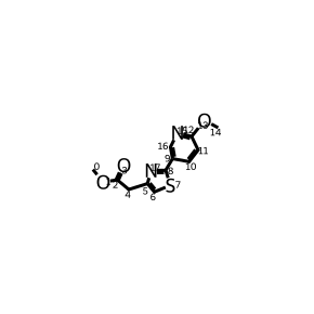 COC(=O)Cc1csc(-c2ccc(OC)nc2)n1